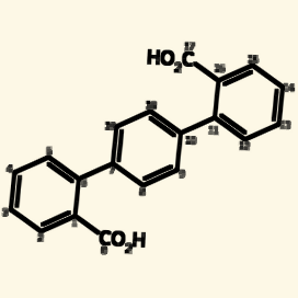 O=C(O)c1ccccc1-c1ccc(-c2ccccc2C(=O)O)cc1